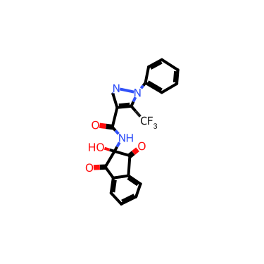 O=C(NC1(O)C(=O)c2ccccc2C1=O)c1cnn(-c2ccccc2)c1C(F)(F)F